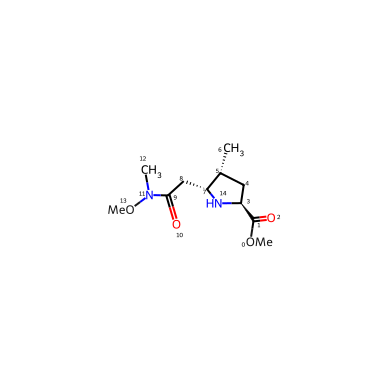 COC(=O)[C@@H]1C[C@@H](C)[C@@H](CC(=O)N(C)OC)N1